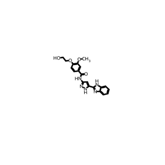 COc1cc(C(=O)Nc2cc(-c3nc4ccccc4[nH]3)[nH]n2)ccc1OCCO